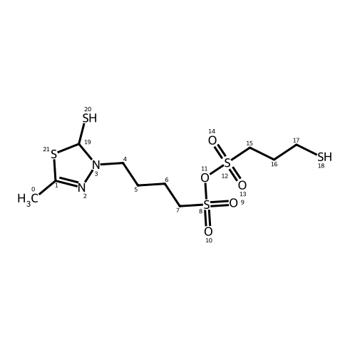 CC1=NN(CCCCS(=O)(=O)OS(=O)(=O)CCCS)C(S)S1